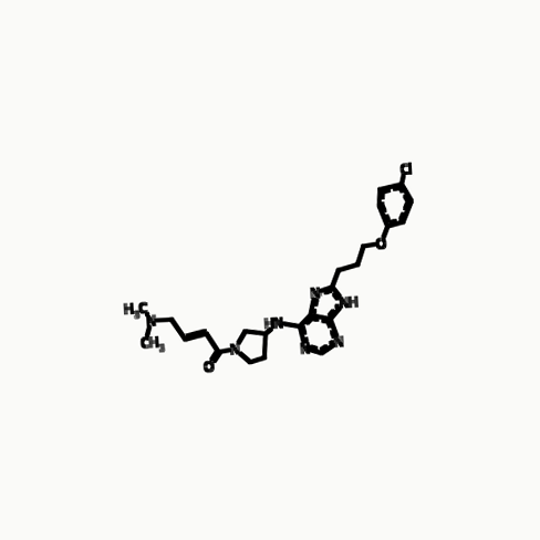 CN(C)C/C=C/C(=O)N1CCC(Nc2ncnc3[nH]c(CCCOc4ccc(Cl)cc4)nc23)C1